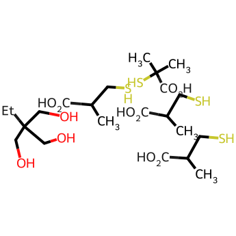 CC(C)(S)C(=O)O.CC(CS)C(=O)O.CC(CS)C(=O)O.CC(CS)C(=O)O.CCC(CO)(CO)CO